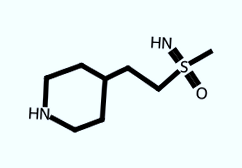 CS(=N)(=O)CCC1CCNCC1